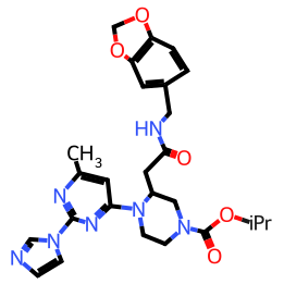 Cc1cc(N2CCN(C(=O)OC(C)C)CC2CC(=O)NCc2ccc3c(c2)OCO3)nc(-n2ccnc2)n1